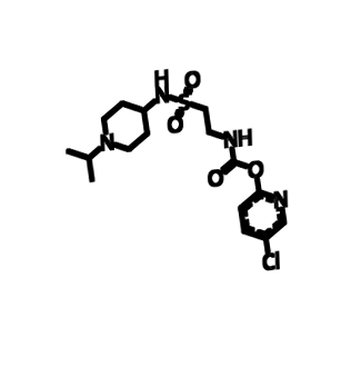 CC(C)N1CCC(NS(=O)(=O)CCNC(=O)Oc2ccc(Cl)cn2)CC1